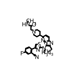 CCc1nc2ccc(C3CCN(CC(=O)NC)CC3)nn2c1N(C)c1nc(-c2ccc(F)cc2C#N)cs1